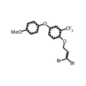 COc1ccc(Oc2ccc(OCC=C(Br)Br)c(C(F)(F)F)c2)cc1